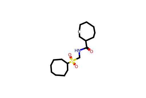 O=C(NCS(=O)(=O)C1CCCCCCC1)C1CCCCCCC1